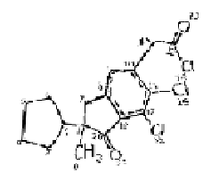 CC1(C2CCCC2)Cc2cc(CC(=O)Cl)c(Cl)c(Cl)c2C1=O